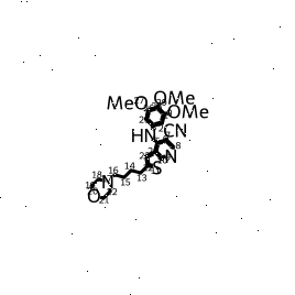 COc1cc(Nc2c(C#N)cnc3sc(CCCCN4CCOCC4)cc23)cc(OC)c1OC